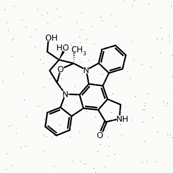 C[C@]12OC(C[C@]1(O)CO)n1c3ccccc3c3c4c(c5c6ccccc6n2c5c31)CNC4=O